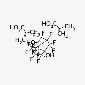 C=C(C)C(=O)O.C=C(C)C(=O)O.OC12C(F)(F)C3(O)C(F)(F)C(F)(C1(F)F)C(F)(F)C(F)(C2(F)F)C3(F)F